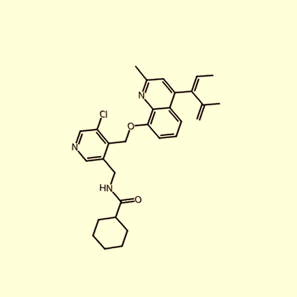 C=C(C)/C(=C\C)c1cc(C)nc2c(OCc3c(Cl)cncc3CNC(=O)C3CCCCC3)cccc12